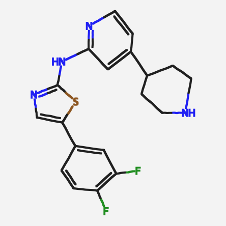 Fc1ccc(-c2cnc(Nc3cc(C4CCNCC4)ccn3)s2)cc1F